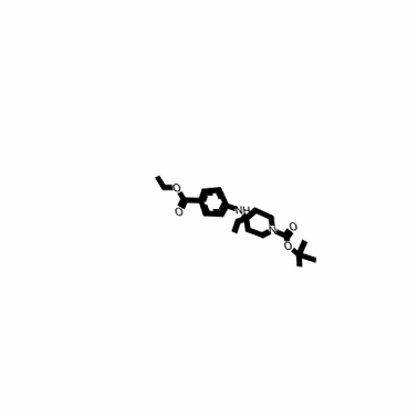 CCOC(=O)c1ccc(NC2(CC)CCN(C(=O)OC(C)(C)C)CC2)cc1